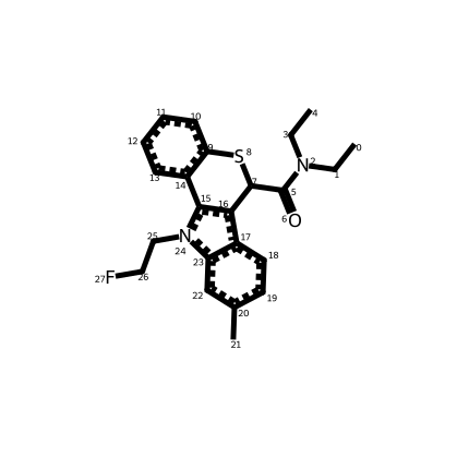 CCN(CC)C(=O)C1Sc2ccccc2-c2c1c1ccc(C)cc1n2CCF